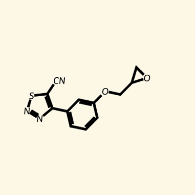 N#Cc1snnc1-c1cccc(OCC2CO2)c1